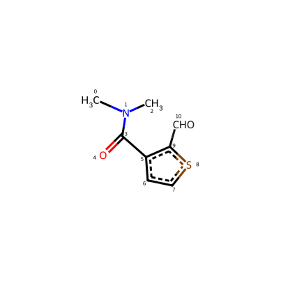 CN(C)C(=O)c1ccsc1C=O